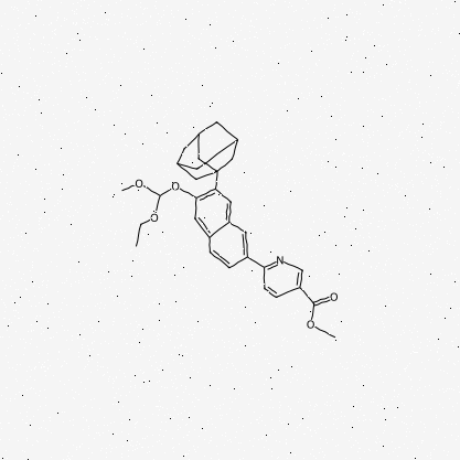 CCOC(OC)Oc1cc2ccc(-c3ccc(C(=O)OC)cn3)cc2cc1C12CC3CC(CC(C3)C1)C2